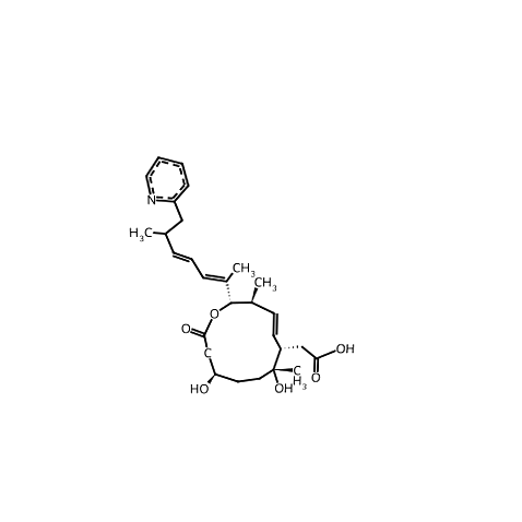 C/C(=C\C=C\C(C)Cc1ccccn1)[C@H]1OC(=O)C[C@H](O)CC[C@@](C)(O)[C@@H](CC(=O)O)/C=C/[C@@H]1C